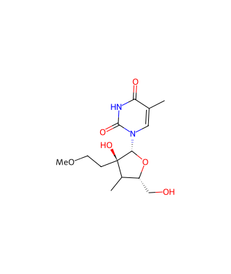 COCC[C@@]1(O)C(C)[C@@H](CO)O[C@H]1n1cc(C)c(=O)[nH]c1=O